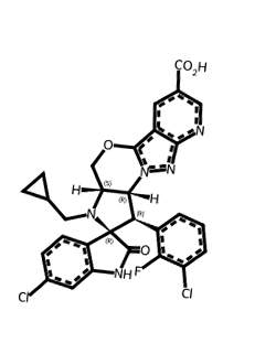 O=C(O)c1cnc2nn3c(c2c1)OC[C@@H]1[C@H]3[C@@H](c2cccc(Cl)c2F)[C@@]2(C(=O)Nc3cc(Cl)ccc32)N1CC1CC1